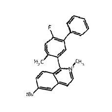 Cc1cc(F)c(-c2ccccc2)cc1-c1c2ccc(C(C)(C)C)cc2cc[n+]1C